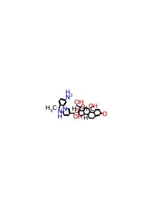 C[C@@H](Nc1ccc([C@H](O)O[C@]2(C(=O)CO)CCC3[C@@H]4CCC5=CC(=O)C=C[C@]5(C)C4[C@@H](O)C[C@@]32C)cn1)c1ccc(N)cc1